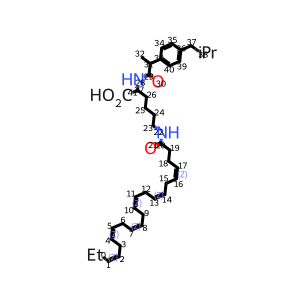 CC/C=C\C/C=C\C/C=C\C/C=C\C/C=C\C/C=C\CCC(=O)NCCCCC(NC(=O)C(C)c1ccc(CC(C)C)cc1)C(=O)O